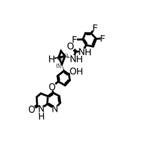 O=C1CCc2c(Oc3ccc(O)c([C@@H]4[C@@H]5C[C@@]45NC(=O)Nc4cc(F)c(F)cc4F)c3)ccnc2N1